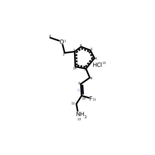 COCc1cccc(C/C=C(\F)CN)c1.Cl